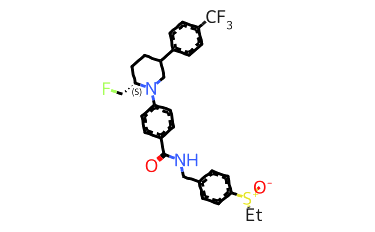 CC[S+]([O-])c1ccc(CNC(=O)c2ccc(N3CC(c4ccc(C(F)(F)F)cc4)CC[C@H]3CF)cc2)cc1